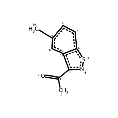 CC(=O)c1nsc2ccc(C)cc12